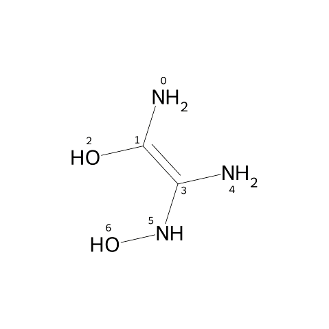 N/C(O)=C(\N)NO